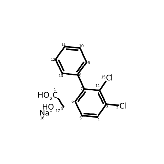 CC(=O)O.Clc1cccc(-c2ccccc2)c1Cl.[Na+].[OH-]